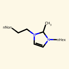 CCCCCCCCCCCN1C=CN(CCCCCC)C1C